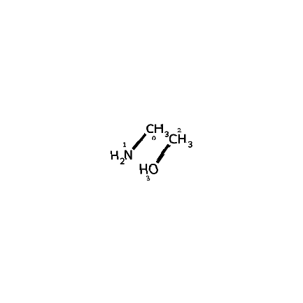 CN.CO